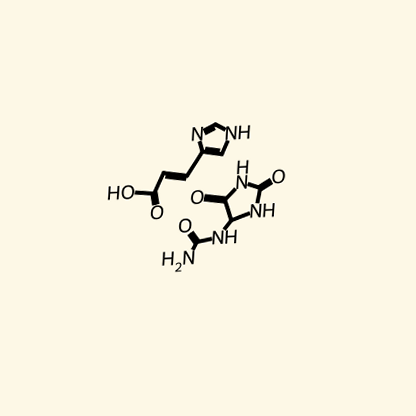 NC(=O)NC1NC(=O)NC1=O.O=C(O)C=Cc1c[nH]cn1